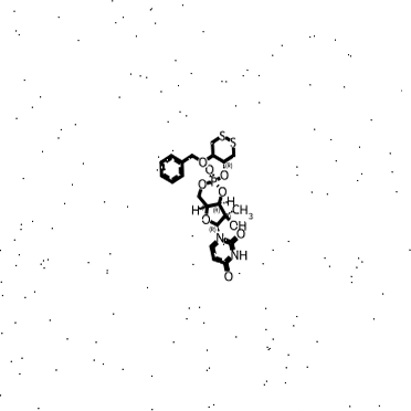 C[C@@]1(O)[C@@H]2OP(=O)(O[C@H]3CSSCC3OCc3ccccc3)OC[C@H]2O[C@H]1n1ccc(=O)[nH]c1=O